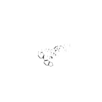 COc1cc(-c2ccc3c(c2NC(=O)N[S+]([O-])c2ccn(C[C@@H](C)O)n2)CCC3)ccn1